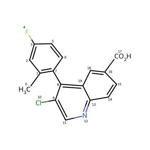 Cc1cc(F)ccc1-c1c(Cl)cnc2ccc(C(=O)O)cc12